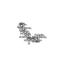 CCC1OC(OC2C(C(C)=O)OC(OC3C(O)C(CC)OC(OC4C(C(C)=O)OC(OC5C(O)C(CC)OC(C(C)(C)C)C5NC(C)=O)C(O)C4O)C3NC(C)=O)C(O)C2O)C(NC(C)=O)C(OC2OC(C(C)=O)C(OC3OC(CC)C(O)C(OC4OC(C(C)=O)C(OC(C)(C)C)C(O)C4O)C3NC(C)=O)C(O)C2O)C1O